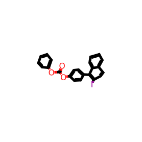 O=C(Oc1ccccc1)Oc1ccc(-c2c(I)ccc3ccccc23)cc1